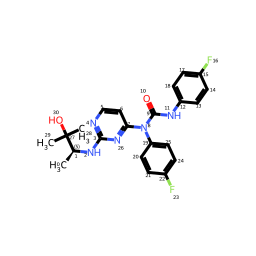 C[C@H](Nc1nccc(N(C(=O)Nc2ccc(F)cc2)c2ccc(F)cc2)n1)C(C)(C)O